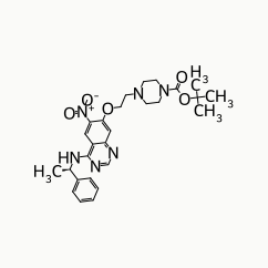 C[C@@H](Nc1ncnc2cc(OCCN3CCN(C(=O)OC(C)(C)C)CC3)c([N+](=O)[O-])cc12)c1ccccc1